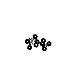 C1=Cc2c(c(-c3cc4c5ccccc5n(-c5ccccc5)c4c4ccccc34)cc3c4ccccc4n(-c4nc(-c5ccccc5)c5ccccc5n4)c23)CC1